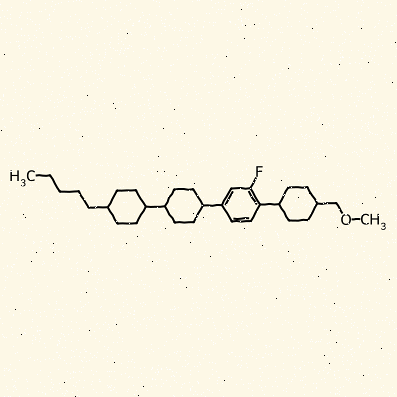 CCCCCC1CCC(C2CCC(c3ccc(C4CCC(COC)CC4)c(F)c3)CC2)CC1